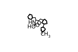 Cc1ccc(-c2cccc3c2OC(C(Cc2ccccc2)NC(=O)O)C3)cc1